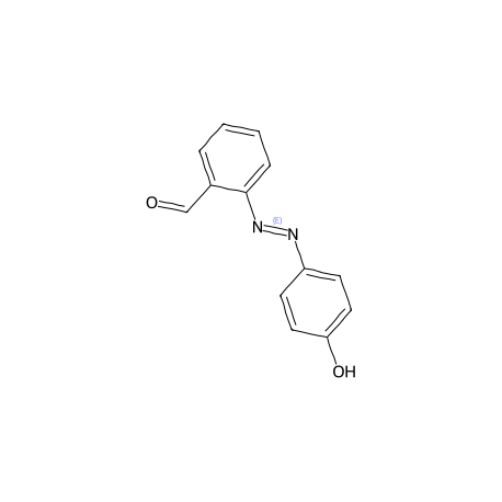 O=Cc1ccccc1/N=N/c1ccc(O)cc1